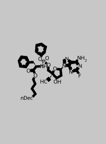 C#C[C@]1(CO[P@@](=O)(N[C@@H](Cc2ccccc2)C(=O)OCCCCCCCCCCCCCC)Oc2ccccc2)O[C@@H](n2cnc3c(N)nc(F)nc32)C[C@@H]1O